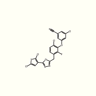 N#Cc1cc(Cl)cc(Oc2c(Cl)ccc(Cc3nnc(-c4cc(Cl)sc4Cl)o3)c2F)c1